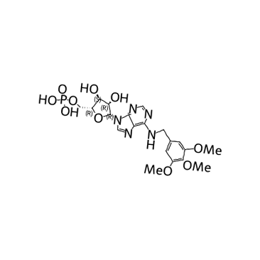 COc1cc(CNc2ncnc3c2ncn3[C@@H]2O[C@H](COP(=O)(O)O)[C@@H](O)[C@H]2O)cc(OC)c1OC